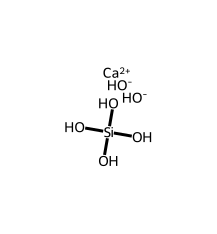 O[Si](O)(O)O.[Ca+2].[OH-].[OH-]